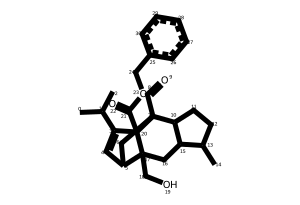 CC(C)C1=CC2CC3(C=O)C4CCC(C)C4CC2(CO)C13C(=O)OCc1ccccc1